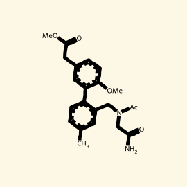 COC(=O)Cc1ccc(OC)c(-c2ccc(C)cc2CN(CC(N)=O)C(C)=O)c1